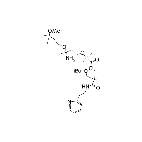 CCC(C)OCC(C)(COC(=O)C(C)(C)OCCC(C)(N)OCCC(C)(C)OC)C(=O)NCCc1ccccn1